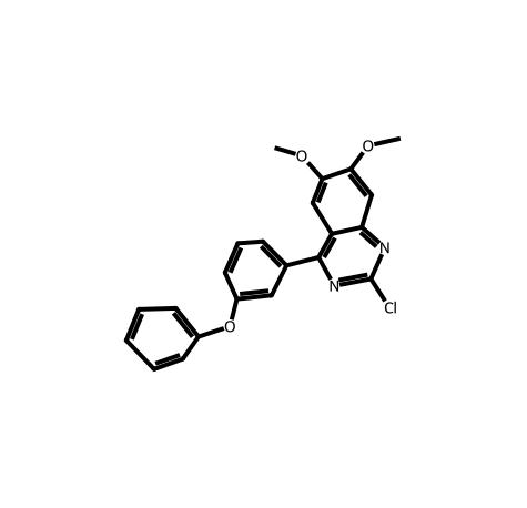 COc1cc2nc(Cl)nc(-c3cccc(Oc4ccccc4)c3)c2cc1OC